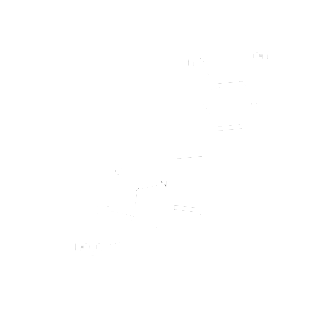 O=C(O)CC1(O)CC(=O)N(CCc2ccc(O)c(O)c2)C1=O